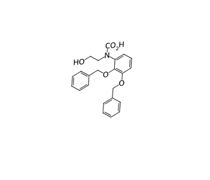 O=C(O)N(CCO)c1cccc(OCc2ccccc2)c1OCc1ccccc1